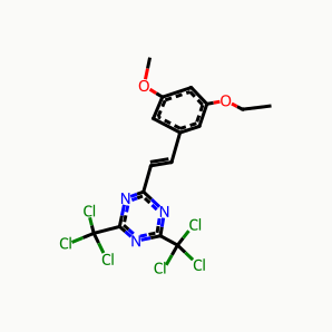 CCOc1cc(/C=C/c2nc(C(Cl)(Cl)Cl)nc(C(Cl)(Cl)Cl)n2)cc(OC)c1